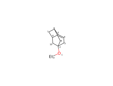 CCOC12CC=C3C(CC3C1)C2